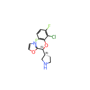 Fc1ccc(F)c(O[C@H](c2ncco2)[C@@H]2CCNC2)c1Cl